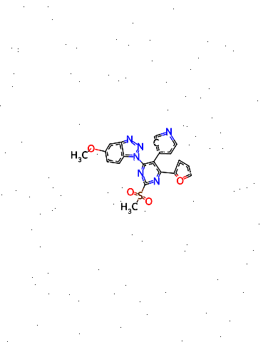 COc1ccc2c(c1)nnn2-c1nc(S(C)(=O)=O)nc(-c2ccco2)c1-c1ccncc1